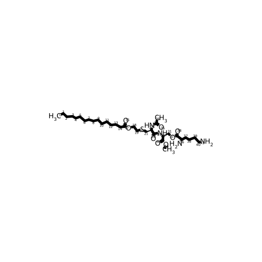 CCCCCCCCCCCCCCCC(=O)OCCSC[C@@H](NC(C)=O)C(=O)N[C@@H](COC(=O)[C@@H](N)CCCCN)C(=O)OC